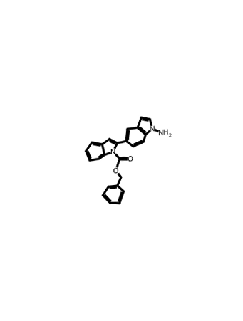 Nn1ccc2cc(-c3cc4ccccc4n3C(=O)OCc3ccccc3)ccc21